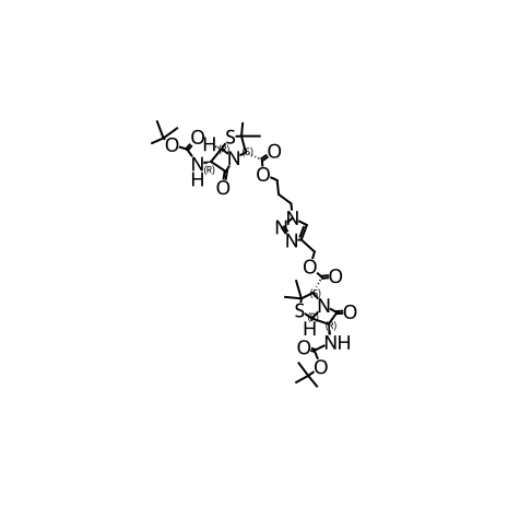 CC(C)(C)OC(=O)N[C@@H]1C(=O)N2[C@@H]1SC(C)(C)[C@@H]2C(=O)OCCCn1cc(COC(=O)[C@@H]2N3C(=O)[C@@H](NC(=O)OC(C)(C)C)[C@H]3SC2(C)C)nn1